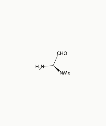 CN[C@@H](N)C=O